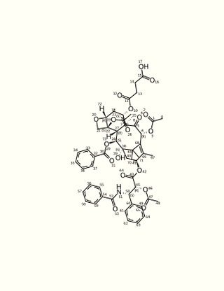 CC(=O)O[C@H]1C(=O)[C@]2(C)[C@@H](OC(=O)CCC(=O)O)C[C@H]3OC[C@@]3(OC(C)=O)[C@H]2[C@H](OC(=O)c2ccccc2)[C@]2(O)C[C@H](OC(=O)[C@H](OC(C)=O)[C@@H](NC(=O)c3ccccc3)c3ccccc3)C(C)=C1C2(C)C